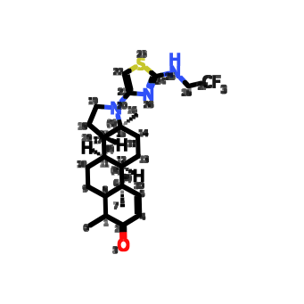 CC1C(=O)C=C[C@@]2(C)C1CC[C@@H]1[C@H]2CC[C@@]2(C)[C@H]1CCN2c1csc(NCC(F)(F)F)n1